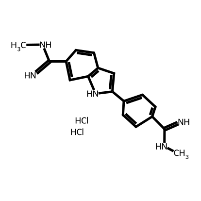 CNC(=N)c1ccc(-c2cc3ccc(C(=N)NC)cc3[nH]2)cc1.Cl.Cl